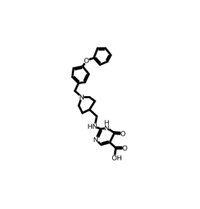 O=C(O)c1cnc(NCC2CCN(Cc3ccc(Oc4ccccc4)cc3)CC2)[nH]c1=O